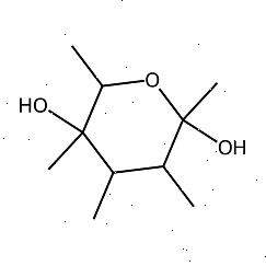 CC1C(C)C(C)(O)C(C)OC1(C)O